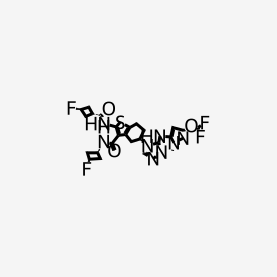 Cn1nc(OC(F)F)cc1Nc1nncn1[C@H]1CCc2sc(NC(=O)[C@H]3C[C@H](F)C3)c(C(=O)N[C@H]3C[C@H](F)C3)c2C1